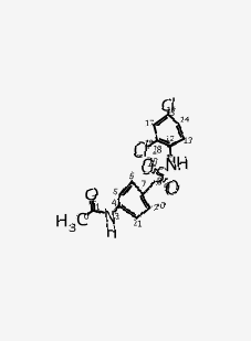 CC(=O)Nc1ccc(S(=O)(=O)Nc2ccc(Cl)cc2Cl)cc1